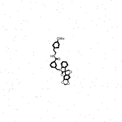 COc1ccc(CCNC(=O)c2cccc(CN3C(=O)C4(COc5cc6c(cc54)OCO6)c4ccccc43)c2)cc1